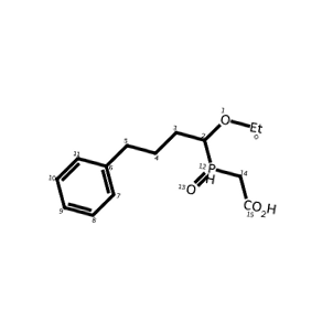 CCOC(CCCc1ccccc1)[PH](=O)CC(=O)O